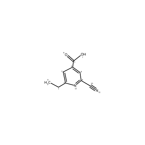 CCc1cc(C(=O)O)cc(C#N)n1